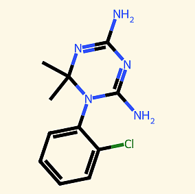 CC1(C)N=C(N)N=C(N)N1c1ccccc1Cl